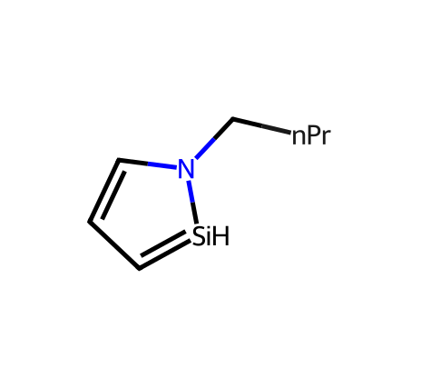 CCCCn1ccc[siH]1